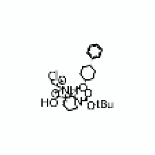 CC(C)(C)OC(=O)N1CCC[C@](CO)(NS(=O)(=O)CCl)[C@@H]1CO[C@H]1CC[C@@H](c2ccccc2)CC1